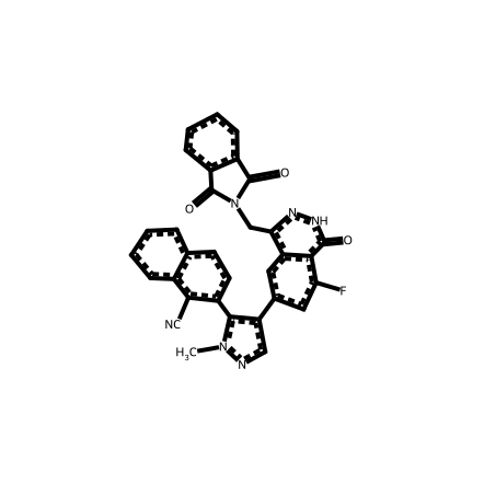 Cn1ncc(-c2cc(F)c3c(=O)[nH]nc(CN4C(=O)c5ccccc5C4=O)c3c2)c1-c1ccc2ccccc2c1C#N